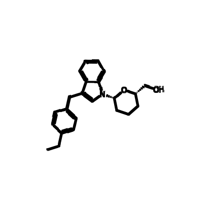 CCc1ccc(Cc2cn([C@H]3CCC[C@@H](CO)O3)c3ccccc23)cc1